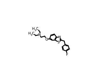 CCN(CC)CCOc1ccc2nc(Cc3ccc(F)cc3)sc2c1